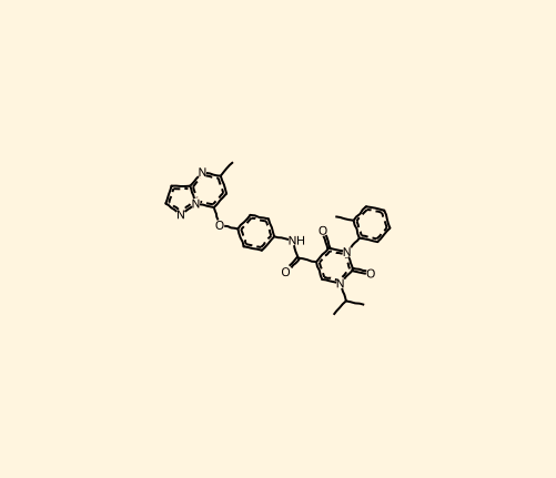 Cc1cc(Oc2ccc(NC(=O)c3cn(C(C)C)c(=O)n(-c4ccccc4C)c3=O)cc2)n2nccc2n1